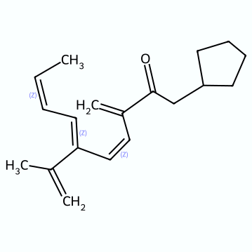 C=C(\C=C/C(=C/C=C\C)C(=C)C)C(=O)CC1CCCC1